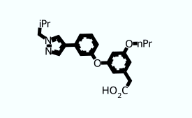 CCCOc1cc(CC(=O)O)cc(Oc2cccc(-c3cnn(CC(C)C)c3)c2)c1